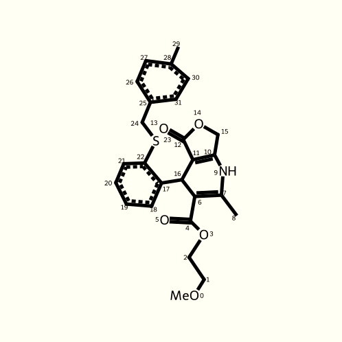 COCCOC(=O)C1=C(C)NC2=C(C(=O)OC2)C1c1ccccc1SCc1ccc(C)cc1